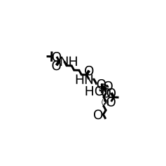 CC(=O)CC[C@@H](COP(=O)(O)OCCNC(=O)CCCCCNC(=O)OC(C)(C)C)OC(C)=O